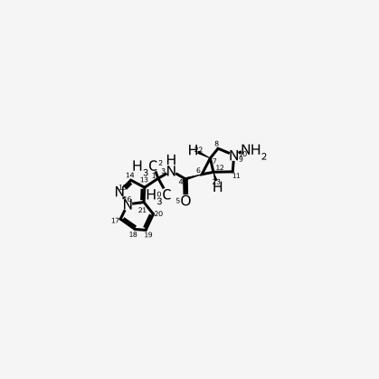 CC(C)(NC(=O)[C@H]1[C@@H]2CN(N)C[C@@H]21)c1cnn2ccccc12